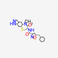 CN1C(=O)[C@@H](NC(=O)c2cc(Cc3ccccc3)on2)CSc2cc3[nH]ncc3cc21